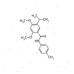 COc1cc(OC)c(C(C)C)cc1C(=S)Nc1ccc(C)cc1